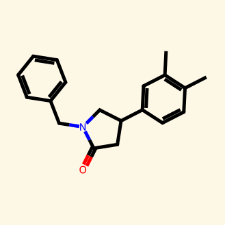 Cc1ccc(C2CC(=O)N(Cc3ccccc3)C2)cc1C